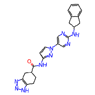 O=C(Nc1ccn(-c2cnc(NC3Cc4ccccc4C3)nc2)n1)C1CCc2[nH]nnc2C1